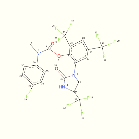 CN(C(=O)Oc1c(N2CC(C(F)(F)F)NC2=O)cc(C(F)(F)F)cc1C(F)(F)F)c1ccc(F)cc1